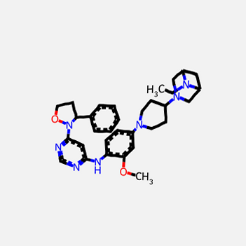 CCN1C2CC1CN(C1CCN(c3ccc(Nc4cc(N5OCCC5c5ccccc5)ncn4)c(OC)c3)CC1)C2